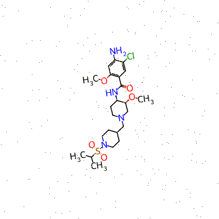 COc1cc(N)c(Cl)cc1C(=O)N[C@@H]1CCN(CC2CCN(S(=O)(=O)C(C)C)CC2)C[C@@H]1OC